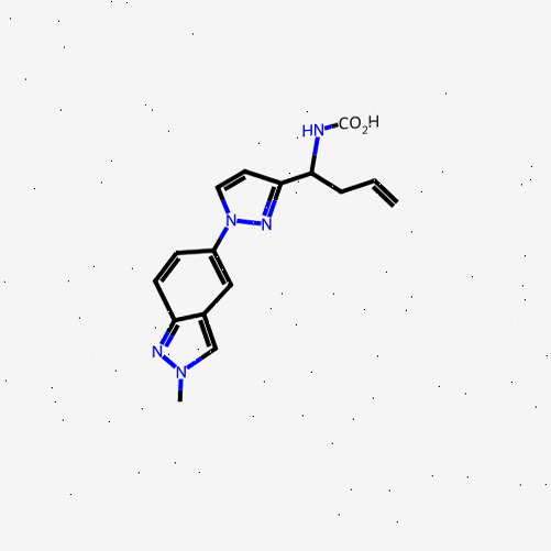 C=CCC(NC(=O)O)c1ccn(-c2ccc3nn(C)cc3c2)n1